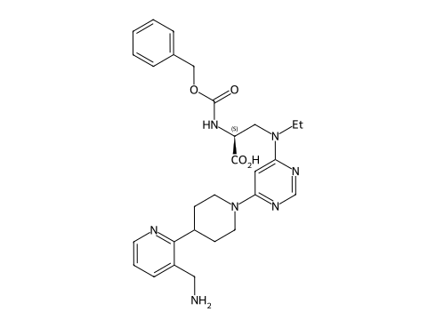 CCN(C[C@H](NC(=O)OCc1ccccc1)C(=O)O)c1cc(N2CCC(c3ncccc3CN)CC2)ncn1